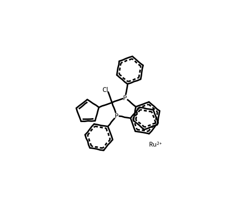 ClC(C1C=CC=C1)(P(c1ccccc1)c1ccccc1)P(c1ccccc1)c1ccccc1.[Ru+2]